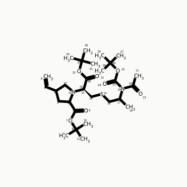 C=CC1CC(C(=O)OC(C)(C)C)N([C@H](CSCC(C)N(C(C)=O)C(=O)OC(C)(C)C)C(=O)OC(C)(C)C)C1